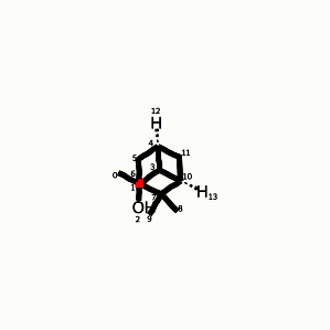 CC(O)C1[C@H]2CCC(C)(C)[C@@H]1C2